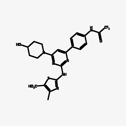 Cc1nc(Nc2nc(-c3ccc(NC(=O)C(F)(F)F)cc3)cc(N3CCC(O)CC3)n2)sc1C(=O)O